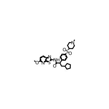 COc1ccc2nc(NC(=O)C(CC3CCCC3)c3ccc(S(=O)(=O)C4CCN(C)CC4)cc3)sc2n1